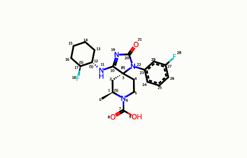 C[C@H]1C[C@]2(CCN1C(=O)O)C(N[C@H]1CCCC[C@@H]1F)=NC(=O)N2c1cccc(F)c1